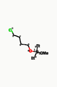 CC[Si](CC)(OC)OCCCCCl